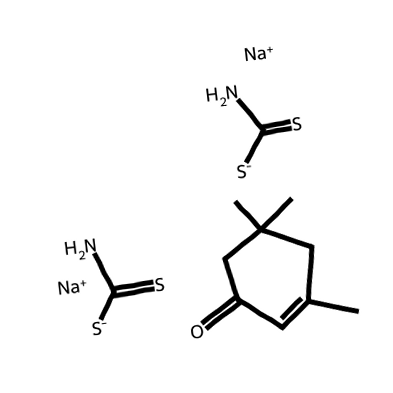 CC1=CC(=O)CC(C)(C)C1.NC(=S)[S-].NC(=S)[S-].[Na+].[Na+]